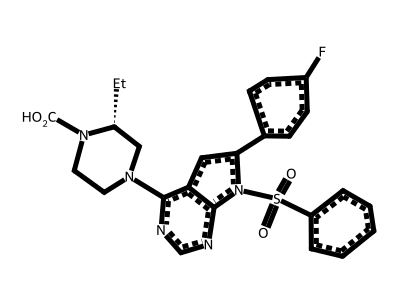 CC[C@@H]1CN(c2ncnc3c2cc(-c2ccc(F)cc2)n3S(=O)(=O)c2ccccc2)CCN1C(=O)O